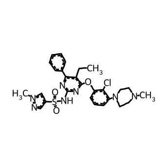 CCc1c(Oc2cccc(N3CCN(C)CC3)c2Cl)nc(NS(=O)(=O)c2cnn(C)c2)nc1-c1ccccc1